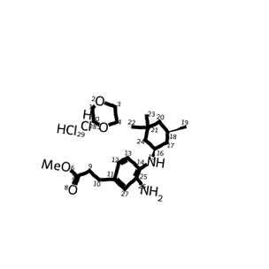 C1COCCO1.COC(=O)CCc1ccc(N[C@@H]2C[C@H](C)CC(C)(C)C2)c(N)c1.Cl.Cl